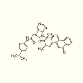 CC1C=c2c(ccc3c2=CC(=O)c2ccccc2-3)C(C)(N2CN(CC(=O)Nc3ccc(C(C)C)cc3)c3cncnc32)C1=O